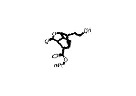 CCCOC(=O)C1C2CC3C(OC(=O)C31)C2CCO